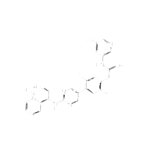 C=C/C(Nc1ncc(-c2cc(F)c(CC(=C)Nc3cncc(C(F)(F)F)c3)cc2F)cn1)=C1/C=CC=CN1C